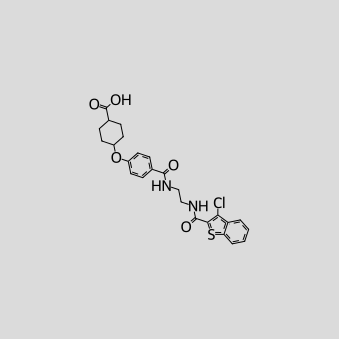 O=C(NCCNC(=O)c1sc2ccccc2c1Cl)c1ccc(OC2CCC(C(=O)O)CC2)cc1